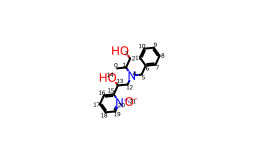 CC(CO)N(Cc1ccccc1)CC(O)c1cccc[n+]1[O-]